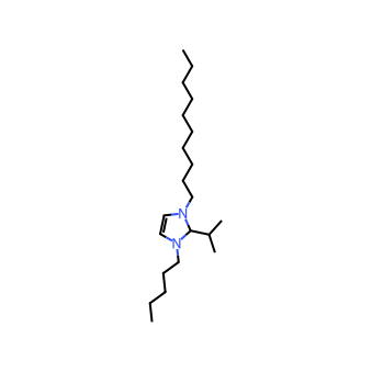 CCCCCCCCCCN1C=CN(CCCCC)C1C(C)C